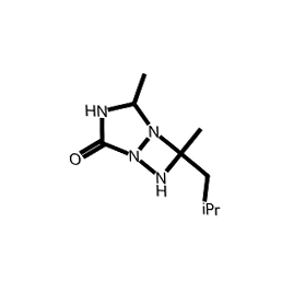 CC(C)CC1(C)NN2C(=O)NC(C)N21